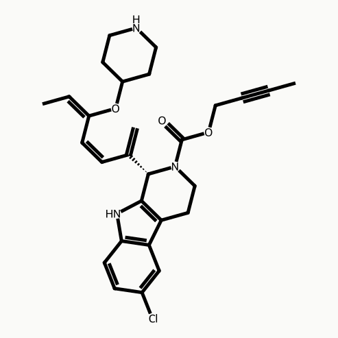 C=C(/C=C\C(=C/C)OC1CCNCC1)[C@H]1c2[nH]c3ccc(Cl)cc3c2CCN1C(=O)OCC#CC